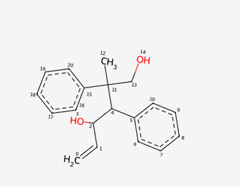 C=CC(O)C(c1ccccc1)C(C)(CO)c1ccccc1